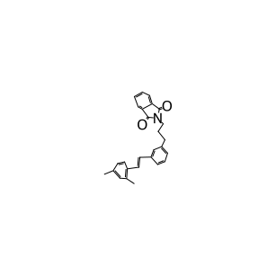 Cc1ccc(/C=C/c2cccc(CCCN3C(=O)c4ccccc4C3=O)c2)c(C)c1